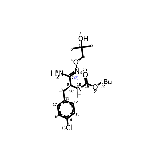 CC(C)(O)CO/N=C(\N)[C@H](Cc1ccc(Cl)cc1)NC(=O)OC(C)(C)C